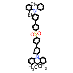 CCc1ccccc1N(c1ccc(-c2ccc(S(=O)(=O)c3ccc(-c4ccc(N5c6ccccc6C(C)(C)c6ccccc65)cc4)cc3)cc2)cc1)c1ccccc1CC